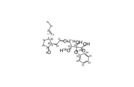 CC/C=C/[C@H]1CCC(=O)[C@@H]1CC=C=CC([16OH])C([16OH])(Oc1ccccc1)C(=O)O